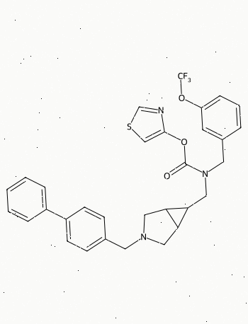 O=C(Oc1cscn1)N(Cc1cccc(OC(F)(F)F)c1)CC1C2CN(Cc3ccc(-c4ccccc4)cc3)CC21